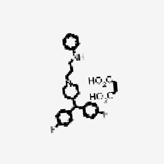 Fc1ccc(C(c2ccc(F)cc2)C2CCN(CCCNc3ccccc3)CC2)cc1.O=C(O)/C=C\C(=O)O